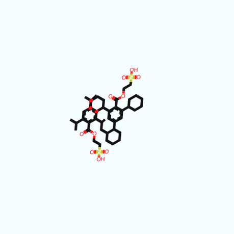 CC(C)c1cc(C(C)C)c(C(=O)OCCS(=O)(=O)O)c(C(C)CC2CCCCC2c2cc(C3CCCCC3)c(C(=O)OCCS(=O)(=O)O)c(C3CCCCC3)c2)c1